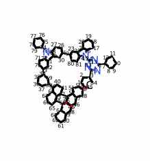 c1ccc(-c2nc(-c3ccccc3)nc(-n3c4ccccc4c4cc(-c5ccc6c(c5)c5cc(-c7cccc(-c8ccc(-c9cccc%10ccccc9%10)c9c(-c%10cccc%11ccccc%10%11)cccc89)c7)ccc5n6-c5ccccc5)ccc43)n2)cc1